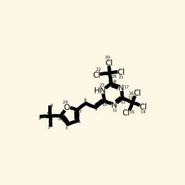 CC(C)(C)c1ccc(CC=C2N=C(C(Cl)(Cl)Cl)N=C(C(Cl)(Cl)Cl)N2)o1